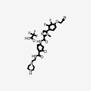 Cn1c(-c2ccc(OCC#N)c(F)c2F)cnc1C(=O)Nc1ccc(C(=O)NCCN2CCNCC2)c(Cl)c1.O=C(O)C(F)(F)F